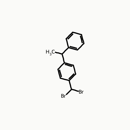 CC(c1ccccc1)c1ccc(C(Br)Br)cc1